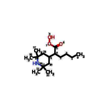 CCCCC(C(=O)OO)C1CC(C)(C)NC(C)(C)C1